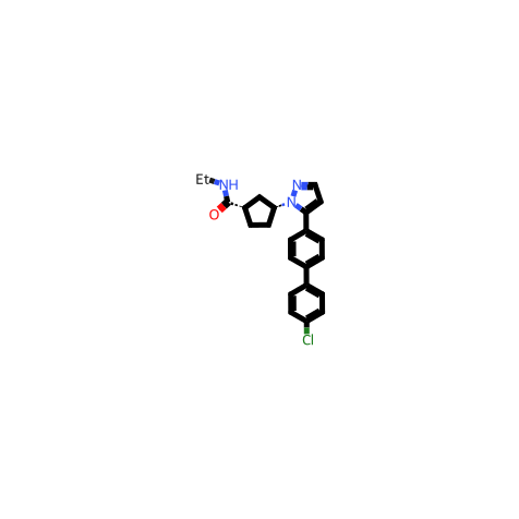 CCNC(=O)[C@H]1CC[C@@H](n2nccc2-c2ccc(-c3ccc(Cl)cc3)cc2)C1